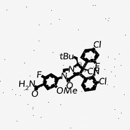 COc1cc(C(N)=O)c(F)cc1N1CN2C(=C(c3cccc(Cl)c3F)[C@@](C#N)(c3ccc(Cl)cc3F)[C@@H]2CC(C)(C)C)C1=O